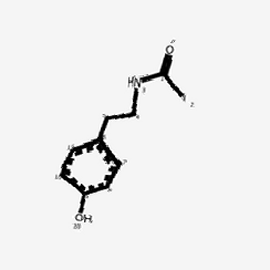 O=C(I)NCCc1ccc(O)cc1